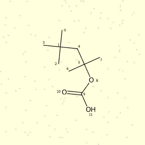 CC(C)(C)CC(C)(C)OC(=O)O